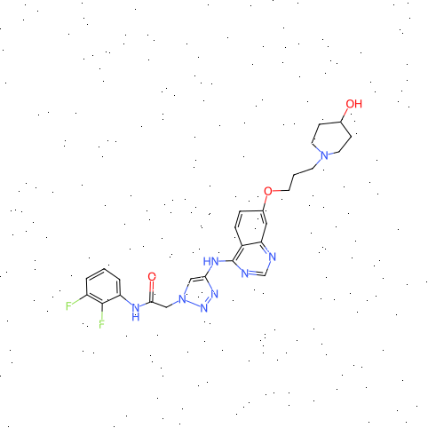 O=C(Cn1cc(Nc2ncnc3cc(OCCCN4CCC(O)CC4)ccc23)nn1)Nc1cccc(F)c1F